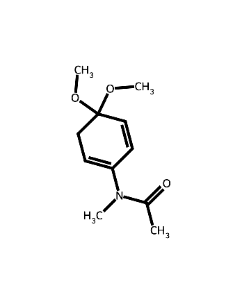 COC1(OC)C=CC(N(C)C(C)=O)=CC1